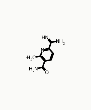 [CH2]c1nc(C(=N)N)ccc1C(N)=O